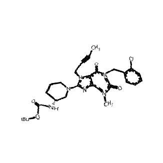 CC#CCn1c(N2CCC[C@@H](NC(=O)OC(C)(C)C)C2)nc2c1c(=O)n(Cc1ccccc1Cl)c(=O)n2C